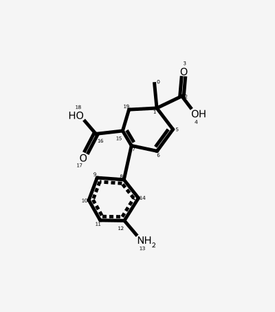 CC1(C(=O)O)C=CC(c2cccc(N)c2)=C(C(=O)O)C1